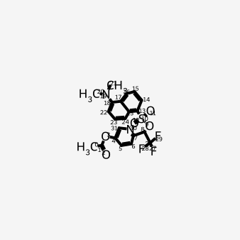 CC(=O)Oc1ccc(C(OS(=O)(=O)c2cccc3c(N(C)C)cccc23)C(F)(F)F)nc1